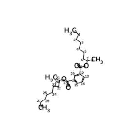 CCCCCCCC(C)OC(=O)c1cccc(C(=O)OC(C)CCCCCCC)c1